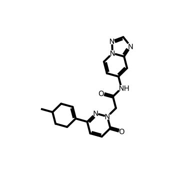 CC1CC=C(c2ccc(=O)n(CC(=O)Nc3ccn4ncnc4c3)n2)CC1